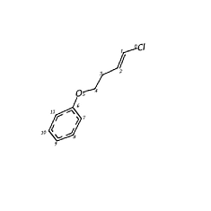 ClC=CCCOc1ccccc1